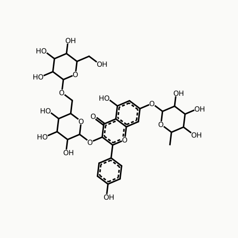 CC1OC(Oc2cc(O)c3c(=O)c(OC4OC(COC5OC(CO)C(O)C(O)C5O)C(O)C(O)C4O)c(-c4ccc(O)cc4)oc3c2)C(O)C(O)C1O